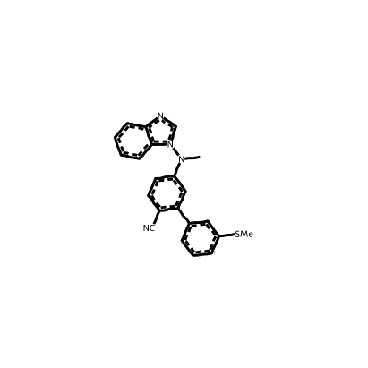 CSc1[c]ccc(-c2cc(N(C)n3cnc4ccccc43)ccc2C#N)c1